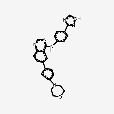 c1nc(Nc2ccc(-c3nc[nH]n3)cc2)c2cc(-c3ccc(N4CCOCC4)cc3)ccc2n1